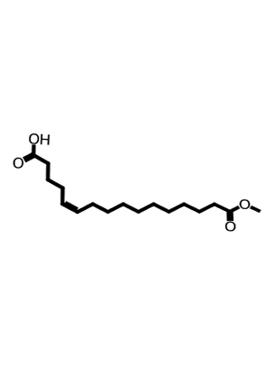 COC(=O)CCCCCCCCC/C=C\CCCC(=O)O